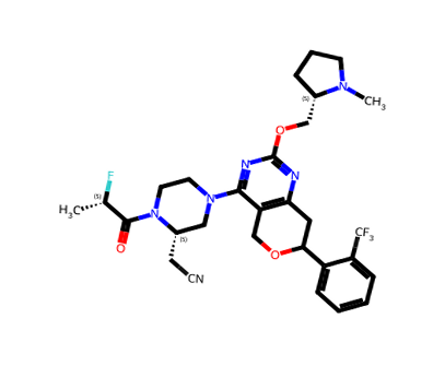 C[C@H](F)C(=O)N1CCN(c2nc(OC[C@@H]3CCCN3C)nc3c2COC(c2ccccc2C(F)(F)F)C3)C[C@@H]1CC#N